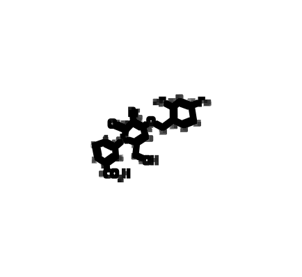 O=C(O)c1cccc(-n2c(CO)cc(OCc3ccc(F)cc3F)c(Br)c2=O)c1